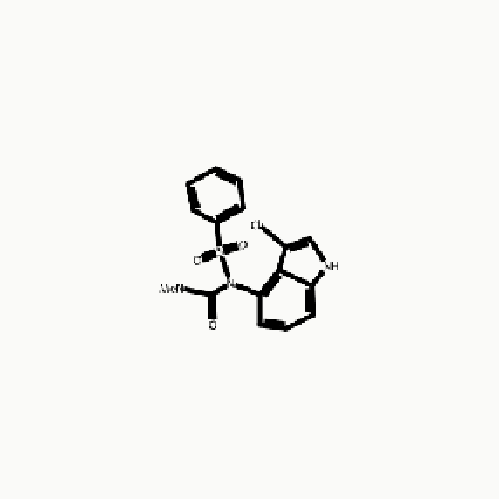 CNC(=O)N(c1cccc2[nH]cc(Cl)c12)S(=O)(=O)c1ccccc1